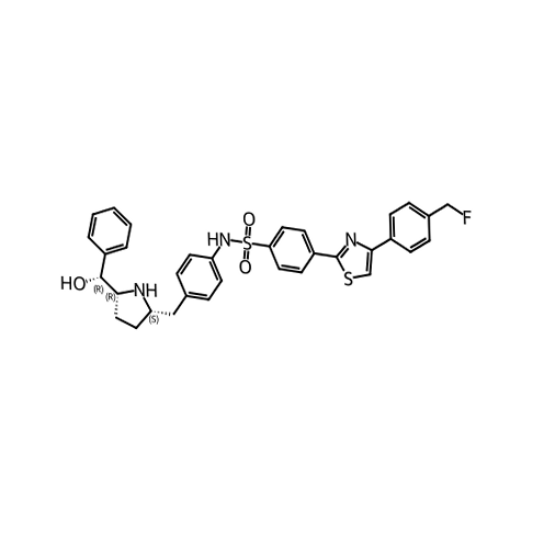 O=S(=O)(Nc1ccc(C[C@@H]2CC[C@H]([C@H](O)c3ccccc3)N2)cc1)c1ccc(-c2nc(-c3ccc(CF)cc3)cs2)cc1